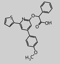 COc1ccc(-c2cc(OC(C(=O)O)c3ccccc3)nc(-c3cccs3)c2)cc1